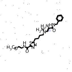 COCCNC(=O)c1nnc(CCCCN(N)/C=C(\N)C(=O)NCc2ccccc2)s1